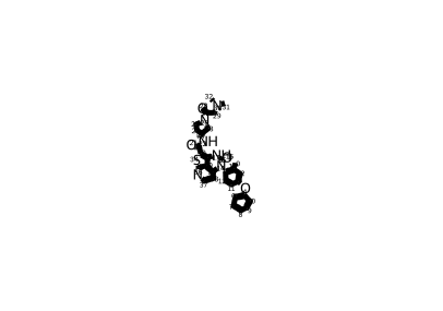 Cc1cc(Oc2ccccc2)ccc1N1C(=O)Nc2c(C(=O)N[C@@H]3CCN(C(=O)CN(C)C)C3)sc3nccc1c23